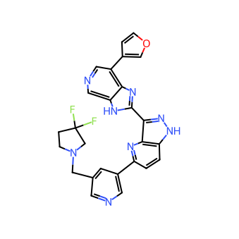 FC1(F)CCN(Cc2cncc(-c3ccc4[nH]nc(-c5nc6c(-c7ccoc7)cncc6[nH]5)c4n3)c2)C1